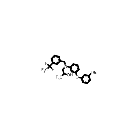 CC(C)(C)c1cccc(Oc2cccc(N(Cc3cccc(C(F)(F)C(F)(F)F)c3)CC(O)C(F)(F)F)c2)c1